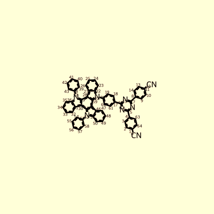 N#Cc1ccc(-c2nc(-c3ccc(C#N)cc3)nc(-c3ccc(-n4c5ccccc5c5c6c(c7ccccc7n6-c6ccccc6)c6c(c7ccccc7n6-c6ccccc6)c54)cc3)n2)cc1